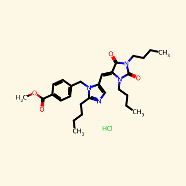 CCCCc1ncc(/C=C2/C(=O)N(CCCC)C(=O)N2CCCC)n1Cc1ccc(C(=O)OC)cc1.Cl